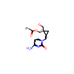 CC(C)C(=O)OC[C@@]1(C[O])C/C1=C/n1ccc(N)nc1=O